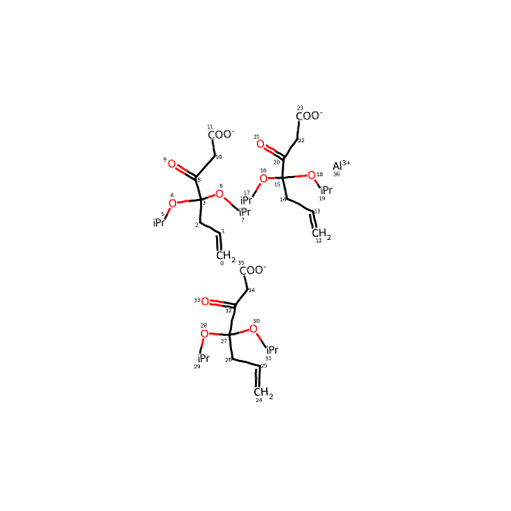 C=CCC(OC(C)C)(OC(C)C)C(=O)CC(=O)[O-].C=CCC(OC(C)C)(OC(C)C)C(=O)CC(=O)[O-].C=CCC(OC(C)C)(OC(C)C)C(=O)CC(=O)[O-].[Al+3]